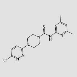 Cc1cc(C)nc(NC(=S)N2CCN(c3ccc(Cl)nn3)CC2)c1